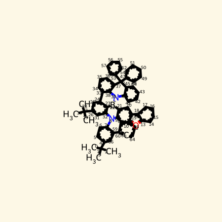 CC(C)(C)c1ccc(N2c3cc4oc5ccccc5c4cc3B3c4c(cc(C(C)(C)C)cc42)-c2cccc4c2N3c2ccccc2C4(c2ccccc2)c2ccccc2)c(-c2ccccc2)c1